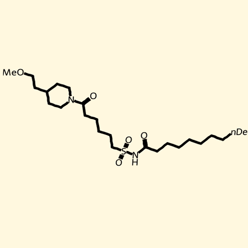 CCCCCCCCCCCCCCCCCC(=O)NS(=O)(=O)CCCCCC(=O)N1CCC(CCOC)CC1